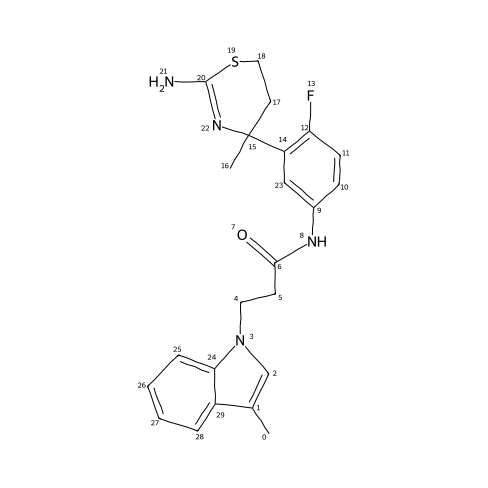 Cc1cn(CCC(=O)Nc2ccc(F)c(C3(C)CCSC(N)=N3)c2)c2ccccc12